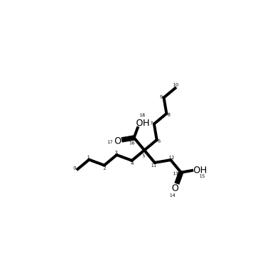 CCCCCC(CCCCC)(CCC(=O)O)C(=O)O